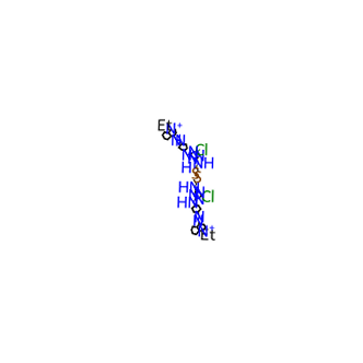 CC[n+]1ccc(/N=N/c2ccc(Nc3nc(Cl)nc(NCCSSCCNc4nc(Cl)nc(Nc5ccc(/N=N/c6cc[n+](CC)c7ccccc67)cc5)n4)n3)cc2)c2ccccc21